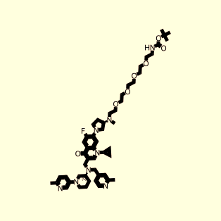 Cc1ccc(N2CCC[C@H](N(Cc3ccnc(C)c3)Cc3cn(C4CC4)c4cc(N5CC[C@@H](N(C)CCOCCOCCOCCOCCNC(=O)OC(C)(C)C)C5)c(F)cc4c3=O)C2)cn1